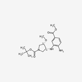 COC(=O)c1ccc(N)c(N[C@@H]2CN(C(=O)OC(C)(C)C)C[C@@H]2OC)c1